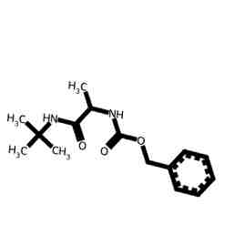 CC(NC(=O)OCc1ccccc1)C(=O)NC(C)(C)C